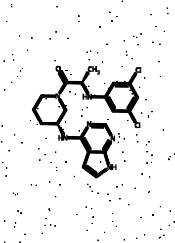 C[C@@H](Nc1cc(Cl)cc(Cl)c1)C(=O)N1CCC[C@H](Nc2ncnc3[nH]ccc23)C1